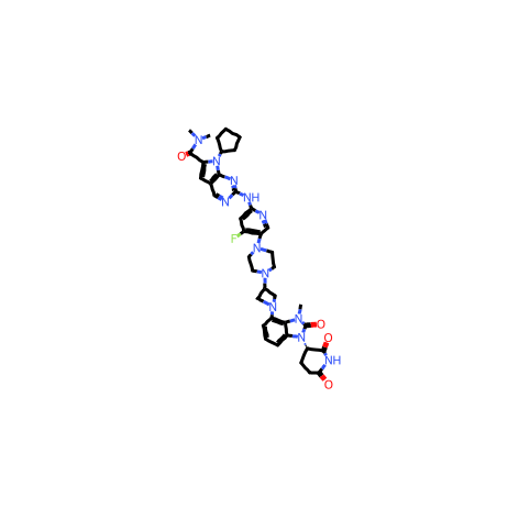 CN(C)C(=O)c1cc2cnc(Nc3cc(F)c(N4CCN(C5CN(c6cccc7c6n(C)c(=O)n7[C@H]6CCC(=O)NC6=O)C5)CC4)cn3)nc2n1C1CCCC1